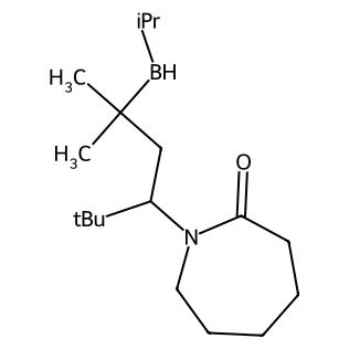 CC(C)BC(C)(C)CC(N1CCCCCC1=O)C(C)(C)C